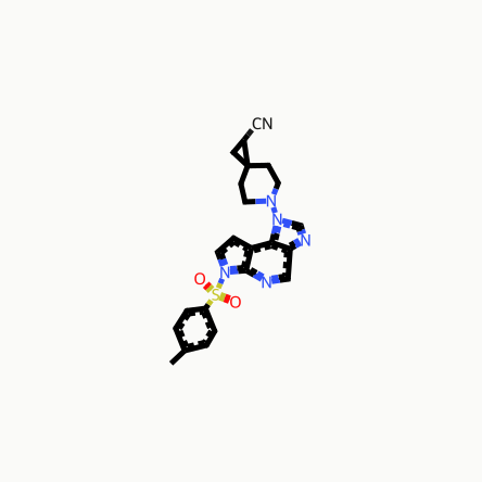 Cc1ccc(S(=O)(=O)n2ccc3c4c(cnc32)ncn4N2CCC3(CC2)CC3C#N)cc1